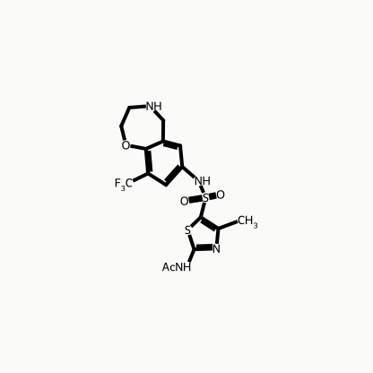 CC(=O)Nc1nc(C)c(S(=O)(=O)Nc2cc3c(c(C(F)(F)F)c2)OCCNC3)s1